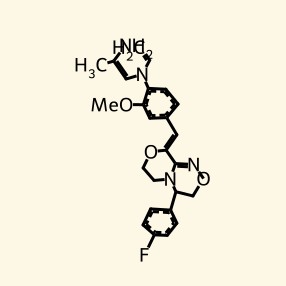 C=CN(/C=C(/C)N)c1ccc(/C=C2\OCCN3C2=NOCC3c2ccc(F)cc2)cc1OC